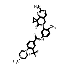 Cc1ccc(NC(=O)c2ccc(N3CCN(C)CC3)c(C(F)(F)F)c2)cc1N1Cc2cnc(N)nc2C2(CC2)C1=O